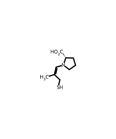 C/C(=C/N1CCC[C@H]1C(=O)O)CS